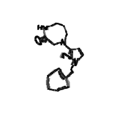 O=C1CN(c2ccn(Cc3ccccc3)n2)CCCN1